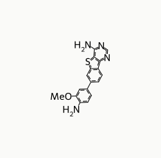 COc1cc(-c2ccc3c(c2)sc2c(N)ncnc23)ccc1N